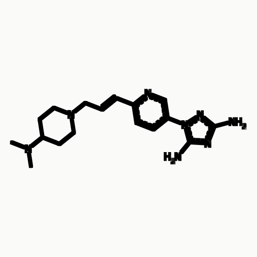 CN(C)C1CCN(C/C=C/c2ccc(-n3nc(N)nc3N)cn2)CC1